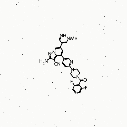 CN/C=C(\C=N)c1cc(-c2ccc(N3CCN(C(=O)c4c(F)cccc4F)CC3)nc2)c2c(C#N)c(N)nn2c1